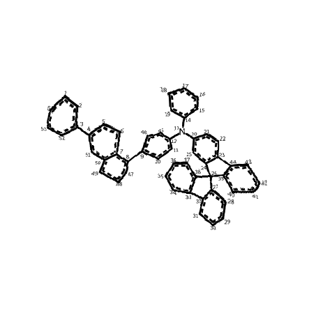 c1ccc(-c2ccc3c(-c4ccc(N(c5ccccc5)c5ccc6c(c5)C5(c7ccccc7-c7ccccc75)c5ccccc5-6)cc4)cccc3c2)cc1